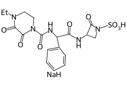 CCN1CCN(C(=O)NC(C(=O)NC2CN(S(=O)(=O)O)C2=O)c2ccccc2)C(=O)C1=O.[NaH]